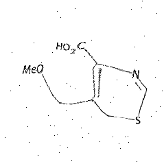 COCC1=C(C(=O)O)N=CSC1